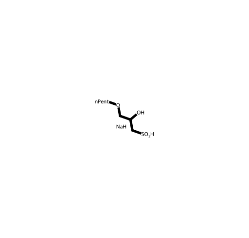 CCCCCOCC(O)CS(=O)(=O)O.[NaH]